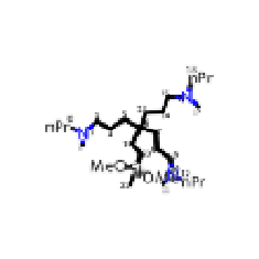 CCCN(C)CCCC(CCCN(C)CCC)(CCCN(C)CCC)CC[Si](C)(OC)OC